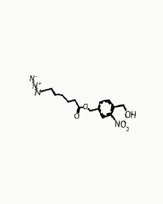 [N-]=[N+]=NCCCCCC(=O)OCc1ccc(CO)c([N+](=O)[O-])c1